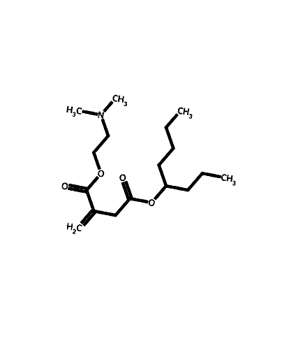 C=C(CC(=O)OC(CCC)CCCC)C(=O)OCCN(C)C